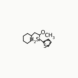 COC(CC1CCCCC1)[SiH2]c1cccs1